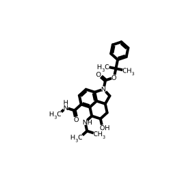 CNC(=O)c1ccc2c3c1C(NC(C)C)C(O)CC3CN2C(=O)OC(C)(C)c1ccccc1